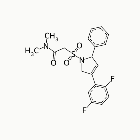 CN(C)C(=O)CS(=O)(=O)N1CC(c2cc(F)ccc2F)=CC1c1ccccc1